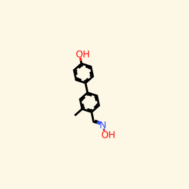 Cc1cc(-c2ccc(O)cc2)ccc1C=NO